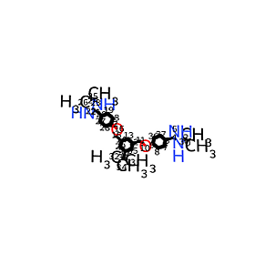 CC(C)NC(=N)c1ccc(OCc2cc(COc3ccc(C(=N)NC(C)C)cc3)cc(C(C)(C)C)c2)cc1